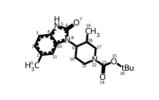 Cc1ccc2[nH]c(=O)n(C3CCN(C(=O)OC(C)(C)C)CC3C)c2c1